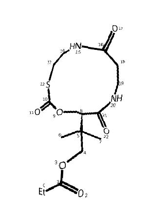 CCC(=O)OCC(C)(C)[C@H]1OC(=O)SCCNC(=O)CCNC1=O